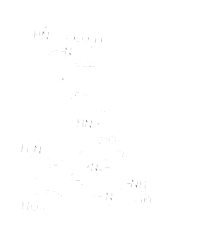 CC(C)Nc1ncc(-c2cc(N)cc(O)c2)n(CC(=O)NCc2ccc(N(C=N)C(=O)O)cc2)c1=O